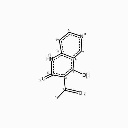 CC(=O)c1c(O)c2cnccc2[nH]c1=O